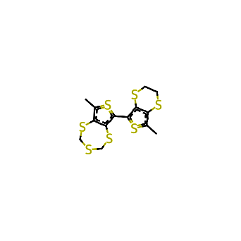 Cc1sc(-c2sc(C)c3c2SCSCS3)c2c1SCCS2